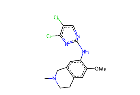 COc1cc2c(cc1Nc1ncc(Cl)c(Cl)n1)CN(C)CC2